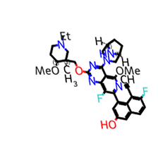 C#Cc1c(F)ccc2cc(O)cc(-c3nc(OC)c4c(N5C[C@H]6CC[C@@H](C5)N6)nc(OC[C@]5(C)CN(CC)CC[C@@H]5OC)nc4c3F)c12